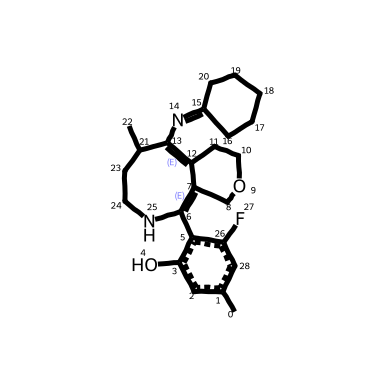 Cc1cc(O)c(/C2=C3\COCC\C3=C(/N=C3CCCCC3)C(C)CCN2)c(F)c1